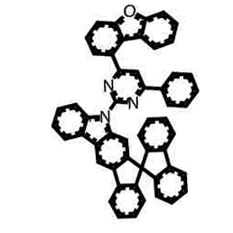 c1ccc(-c2cc(-c3cccc4oc5ccccc5c34)nc(-n3c4ccccc4c4cc5c(cc43)C3(c4ccccc4-c4ccccc43)c3ccccc3-5)n2)cc1